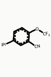 [CH2]C(C)c1ccc(OC(F)(F)F)c(C#N)c1